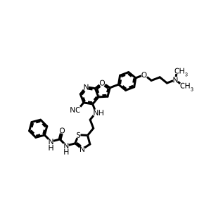 CN(C)CCCOc1ccc(-c2cc3c(NCCC4CN=C(NC(=O)Nc5ccccc5)S4)c(C#N)cnc3o2)cc1